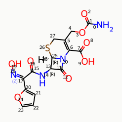 NC(=O)OCC1=C(C(=O)O)N2C(=O)[C@@H](NC(=O)/C(=N\O)c3ccco3)[C@H]2SC1